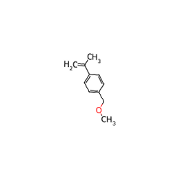 C=C(C)c1ccc(COC)cc1